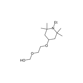 CCN1C(C)(C)CC(OCCOCO)CC1(C)C